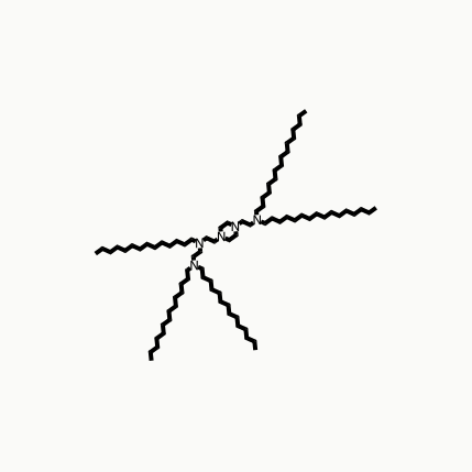 CCCCCCCCCCCCCCCCN(CCCCCCCCCCCCCCCC)CCN1CCN(CCN(CCCCCCCCCCCCCC)CCN(CCCCCCCCCCCCCC)CCCCCCCCCCCCCC)CC1